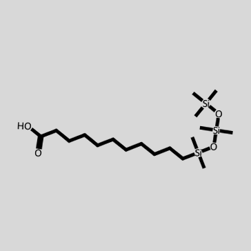 C[Si](C)(C)O[Si](C)(C)O[Si](C)(C)CCCCCCCCCCC(=O)O